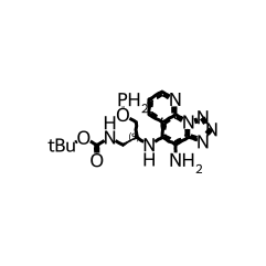 CC(C)(C)OC(=O)NC[C@@H](COP)Nc1c(N)c2nnnn2c2ncccc12